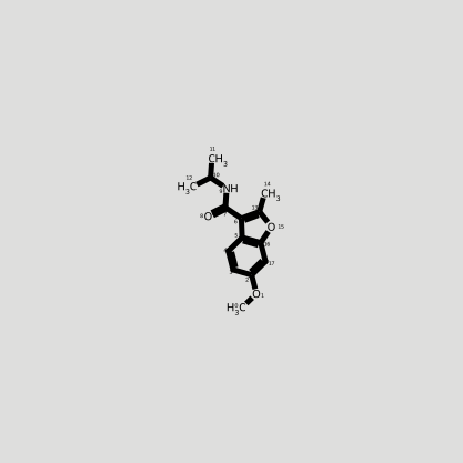 COc1ccc2c(C(=O)NC(C)C)c(C)oc2c1